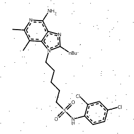 CCCCc1nc2c(N)nc(C)c(C)c2n1CCCCCS(=O)(=O)Nc1ccc(Cl)cc1Cl